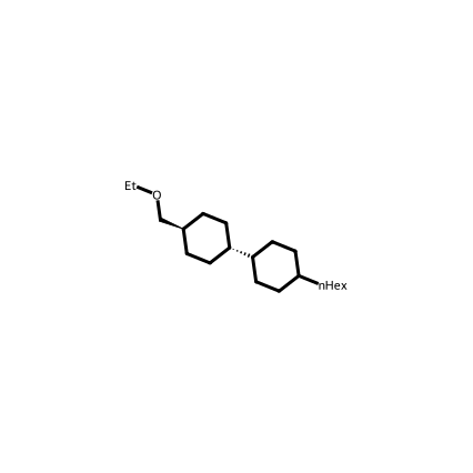 CCCCCCC1CCC([C@H]2CC[C@H](COCC)CC2)CC1